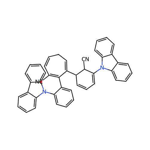 N#CC1=C(c2ccccc2-n2c3ccccc3c3ccccc32)C(C2C=CC=C(n3c4ccccc4c4ccccc43)C2C#N)=CCC=C1